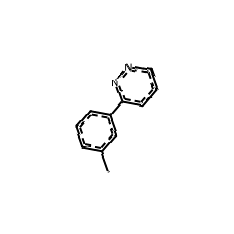 Cc1cccc(-c2cccnn2)c1